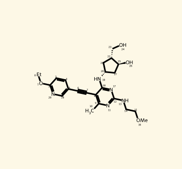 CCOc1ccc(C#Cc2c(C)nc(NCCOC)nc2N[C@@H]2C[C@H](CO)[C@@H](O)C2)cn1